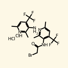 Cc1cc(C(F)(F)F)c(N)c(C)n1.Cc1cc(C(F)(F)F)c(NC(=O)CBr)c(C)n1.Cl.Cl